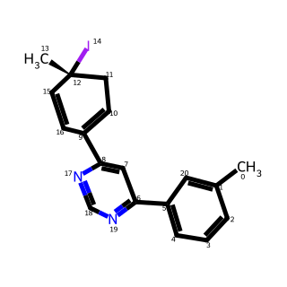 Cc1cccc(-c2cc(C3=CC[C@@](C)(I)C=C3)ncn2)c1